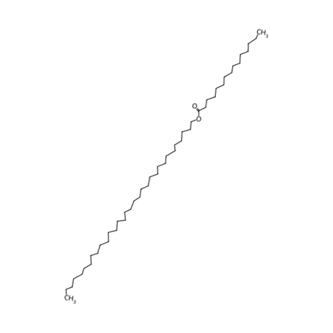 CCCCCCCCCCCCCCCCCCCCCCCCCCCCCCCCOC(=O)CCCCCCCCCCCCCC